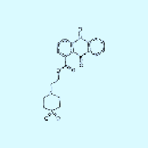 O=C(OCCN1CCS(=O)(=O)CC1)c1cccc2c1C(=O)c1ccccc1C2=O